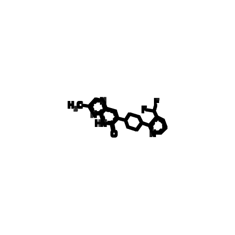 Cc1cnc2cc(C3CCC(c4ncccc4C(F)F)CC3)c(=O)[nH]c2n1